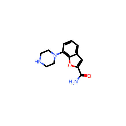 NC(=O)c1cc2cccc(N3CCNCC3)c2o1